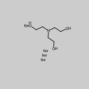 OCCN(CCO)CCO.[Na].[Na].[Na].[Na]